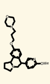 COc1ccc(C2CN3CCCC3c3cc(OCCCN4CCOCC4)ccc32)cn1